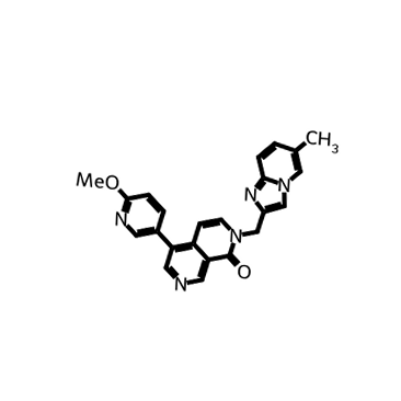 COc1ccc(-c2cncc3c(=O)n(Cc4cn5cc(C)ccc5n4)ccc23)cn1